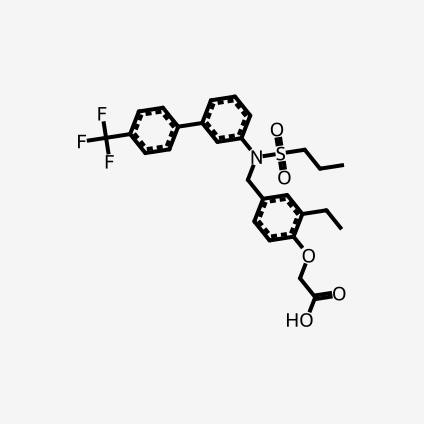 CCCS(=O)(=O)N(Cc1ccc(OCC(=O)O)c(CC)c1)c1cccc(-c2ccc(C(F)(F)F)cc2)c1